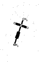 CS(=O)(=O)C#CN